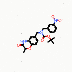 CC1Oc2ccc(CN(Cc3cccc([N+](=O)[O-])c3)C(=O)OC(C)(C)C)cc2NC1=O